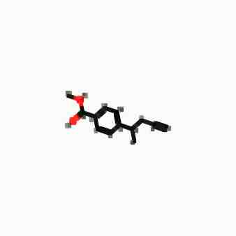 C#CCC(C)c1ccc(C(=O)OC)cc1